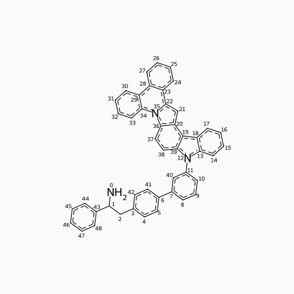 NC(Cc1ccc(-c2cccc(-n3c4ccccc4c4c5cc6c7ccccc7c7ccccc7n6c5ccc43)c2)cc1)c1ccccc1